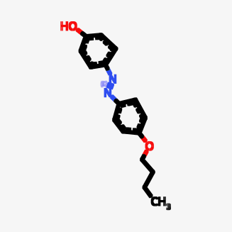 CCCCOc1ccc(/N=N/c2ccc(O)cc2)cc1